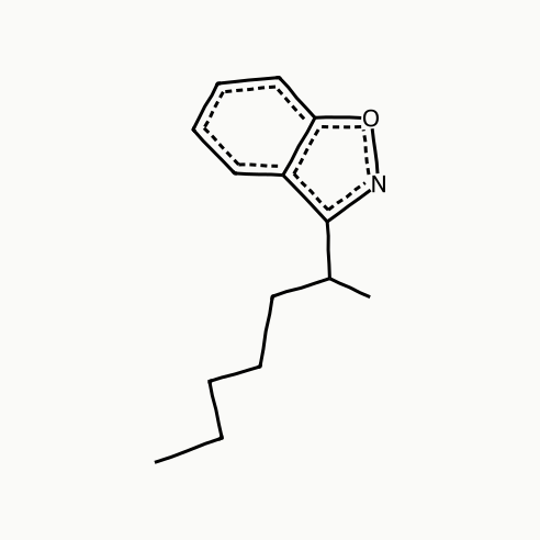 CCCCCC(C)c1noc2ccccc12